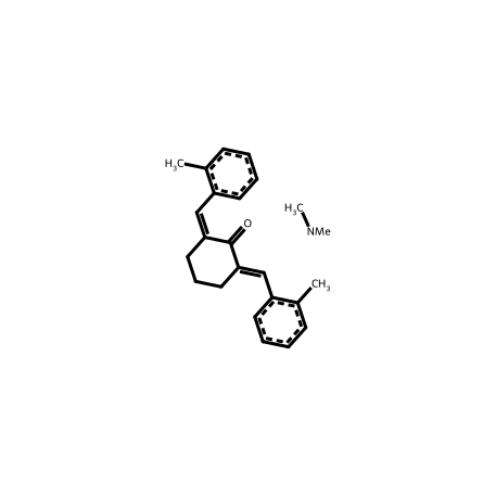 CNC.Cc1ccccc1C=C1CCCC(=Cc2ccccc2C)C1=O